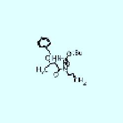 C=CCNC(=O)[C@@H](NC(=O)OC(C)(C)C)[C@@H](C)OCc1ccccc1